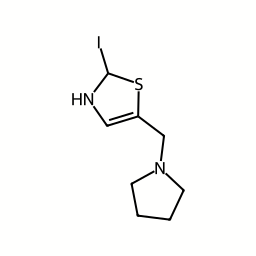 IC1NC=C(CN2CCCC2)S1